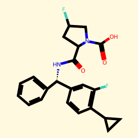 O=C(N[C@@H](c1ccccc1)c1ccc(C2CC2)c(F)c1)C1CC(F)CN1C(=O)O